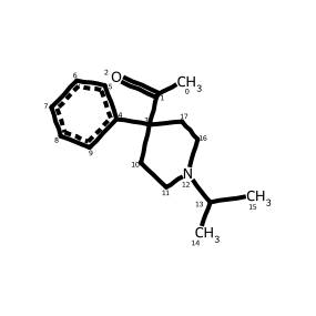 CC(=O)C1(c2ccccc2)CCN(C(C)C)CC1